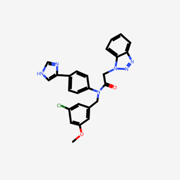 COc1cc(Cl)cc(CN(C(=O)Cn2nnc3ccccc32)c2ccc(-c3c[nH]cn3)cc2)c1